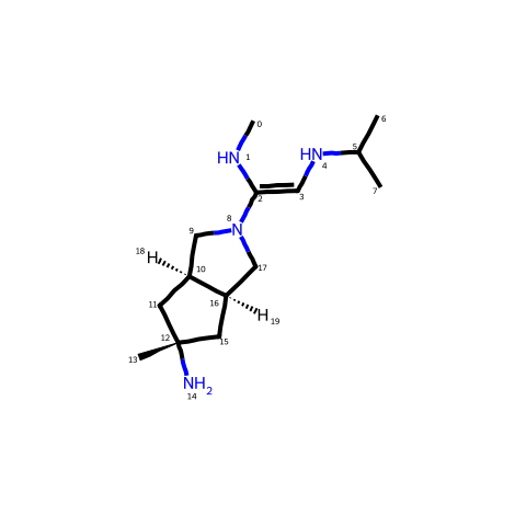 CN/C(=C\NC(C)C)N1C[C@@H]2C[C@@](C)(N)C[C@@H]2C1